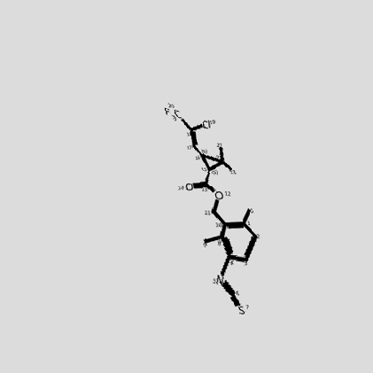 Cc1ccc(N=C=S)c(C)c1COC(=O)[C@H]1[C@@H](C=C(Cl)C(F)(F)F)C1(C)C